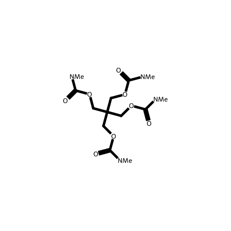 CNC(=O)OCC(COC(=O)NC)(COC(=O)NC)COC(=O)NC